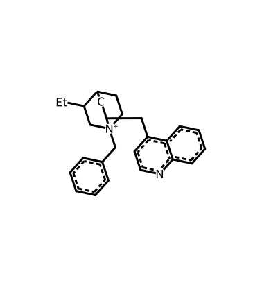 CCC1C[N+]2(Cc3ccccc3)CCC1CC2Cc1ccnc2ccccc12